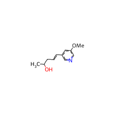 COc1cncc(/C=C/CC(C)O)c1